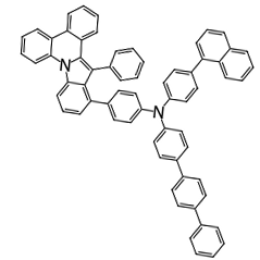 c1ccc(-c2ccc(-c3ccc(N(c4ccc(-c5cccc6ccccc56)cc4)c4ccc(-c5cccc6c5c(-c5ccccc5)c5c7ccccc7c7ccccc7n65)cc4)cc3)cc2)cc1